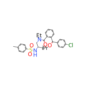 CCN(CC(NS(=O)(=O)c1ccc(C)cc1)C(C)C)C(=O)c1ccccc1C(=O)c1ccc(Cl)cc1